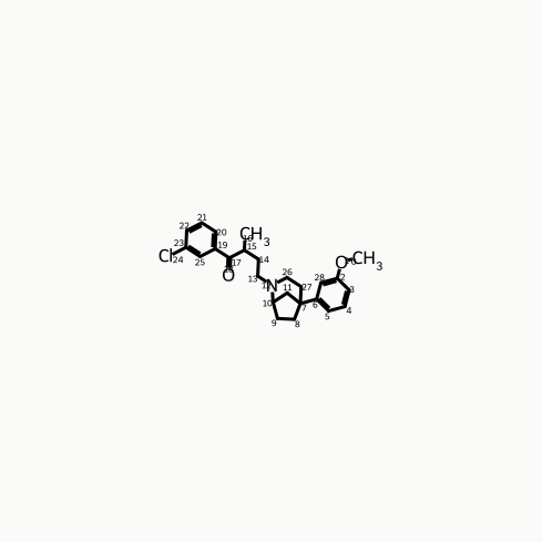 COc1cccc(C23CCC(C2)N(CCC(C)C(=O)c2cccc(Cl)c2)CC3)c1